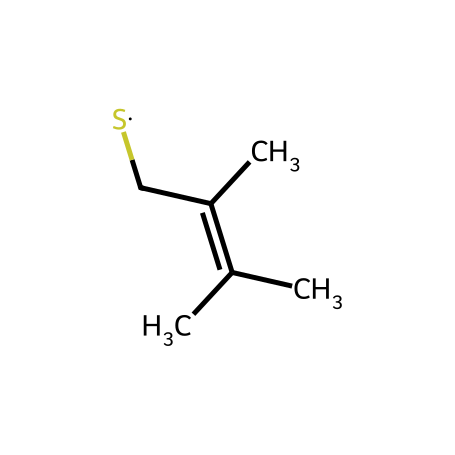 CC(C)=C(C)C[S]